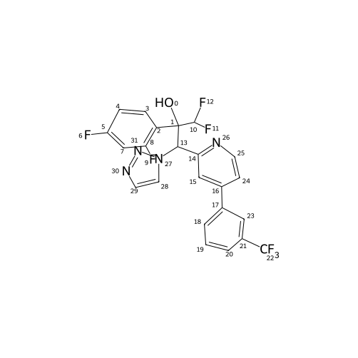 OC(c1ccc(F)cc1F)(C(F)F)C(c1cc(-c2cccc(C(F)(F)F)c2)ccn1)n1ccnn1